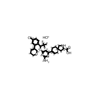 Cl.Nc1nc(OC(c2ccc(Cl)cc2C2=CCCOC2)C(F)(F)F)cc(C2=CC[C@@]3(CC2)CN[C@@H](C(=O)O)C3)n1